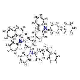 CC1(C)c2ccccc2-c2ccc(N(c3ccccc3)c3cc(-c4ccc5c(c4)c4ccccc4n5-c4ccc(C5=CCCC=C5)cc4)cc(N(c4ccccc4)c4cccc5ccccc45)c3)cc21